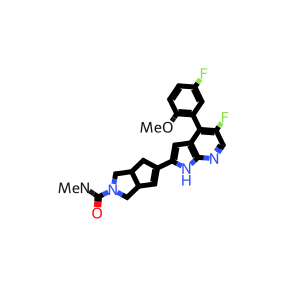 CNC(=O)N1CC2C=C(c3cc4c(-c5cc(F)ccc5OC)c(F)cnc4[nH]3)CC2C1